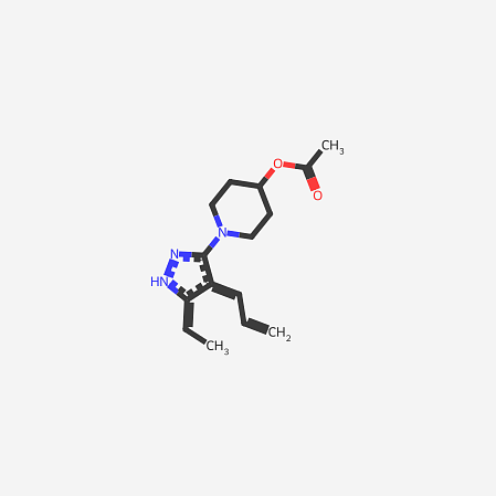 C=C/C=c1/c(N2CCC(OC(C)=O)CC2)n[nH]/c1=C/C